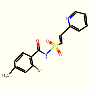 Cc1ccc(C(=O)NS(=O)(=O)/C=C/c2ccccn2)c(Br)c1